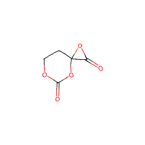 O=C1OCCC2(O1)OC2=O